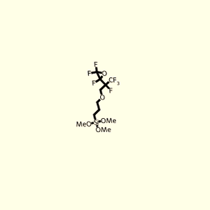 CO[Si](CCCOCC(F)(C(F)(F)F)C1(F)OC1(F)F)(OC)OC